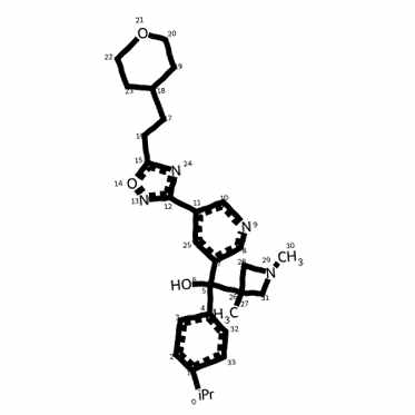 CC(C)c1ccc(C(O)(c2cncc(-c3noc(CCC4CCOCC4)n3)c2)C2(C)CN(C)C2)cc1